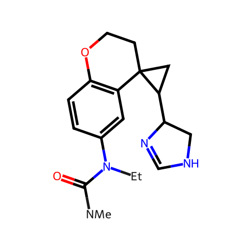 CCN(C(=O)NC)c1ccc2c(c1)C1(CCO2)CC1C1CNC=N1